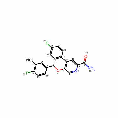 N#Cc1cc(COc2cnc(C(N)=O)cc2-c2ccc(F)cc2)ccc1F